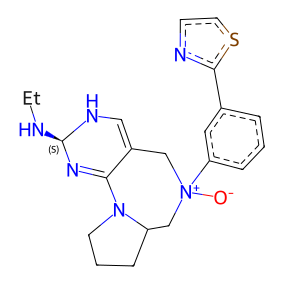 CCN[C@@H]1N=C2C(=CN1)C[N+]([O-])(c1cccc(-c3nccs3)c1)CC1CCCN21